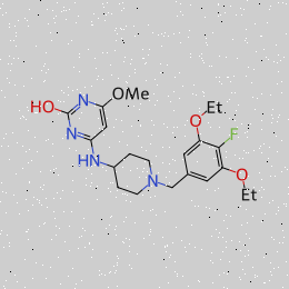 CCOc1cc(CN2CCC(Nc3cc(OC)nc(O)n3)CC2)cc(OCC)c1F